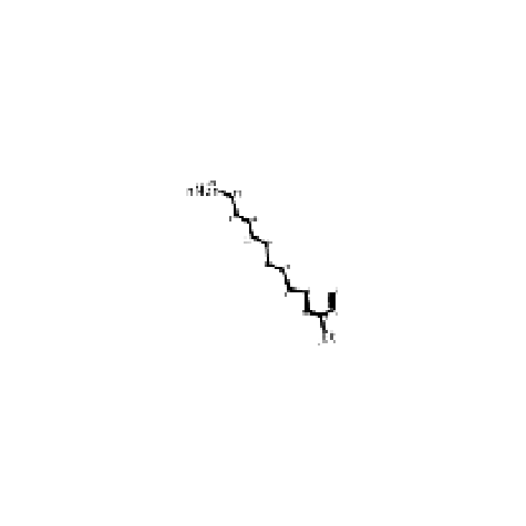 C=CC(CC)CCCCCCCCCCCCCCCCCCC